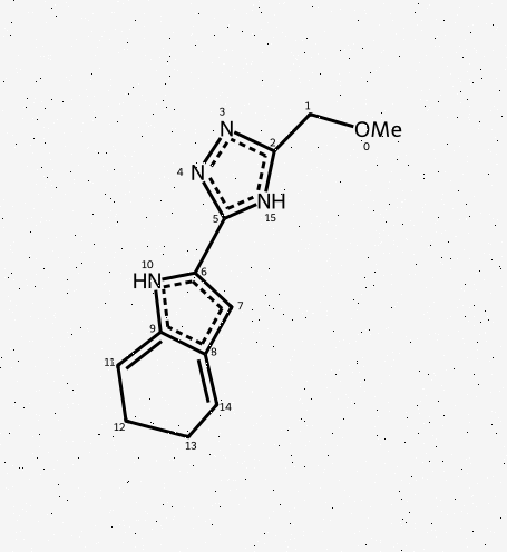 COCc1nnc(-c2cc3c([nH]2)=CCCC=3)[nH]1